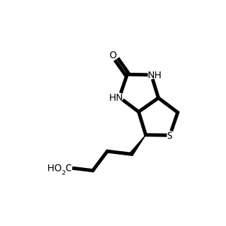 O=C(O)CCC[C@@H]1SCC2NC(=O)NC21